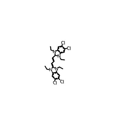 CCN1C(=CC=CC2N(CC)c3cc(Cl)c(Cl)cc3N2CC)N(CC)c2cc(Cl)c(Cl)cc21